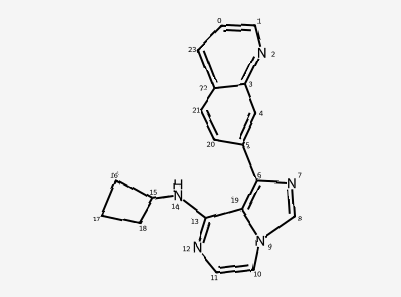 c1cnc2cc(-c3ncn4ccnc(NC5CCC5)c34)ccc2c1